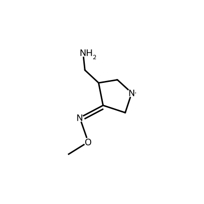 CON=C1C[N]CC1CN